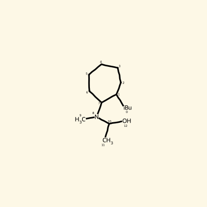 CCC(C)C1CCCCCC1N(C)C(C)O